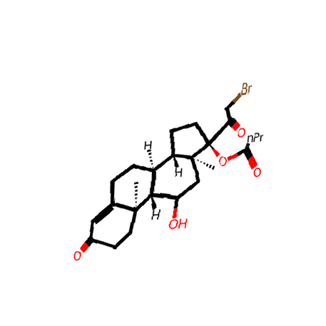 CCCC(=O)O[C@]1(C(=O)CBr)CC[C@H]2[C@@H]3CCC4=CC(=O)CC[C@]4(C)[C@H]3C(O)C[C@@]21C